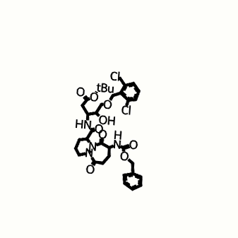 CC(C)(C)OC(=O)CC(NC(=O)C1CCCN2C(=O)CCC(NC(=O)OCc3ccccc3)C(=O)N12)C(O)COCc1c(Cl)cccc1Cl